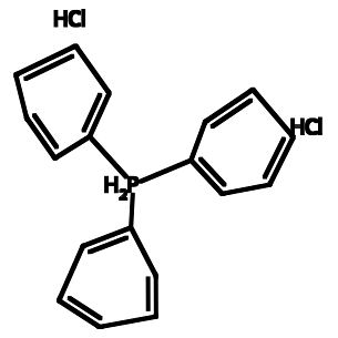 Cl.Cl.c1ccc([PH2](c2ccccc2)c2ccccc2)cc1